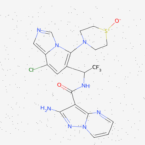 Nc1nn2cccnc2c1C(=O)NC(c1cc(Cl)c2cncn2c1N1CC[S+]([O-])CC1)C(F)(F)F